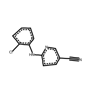 N#Cc1ccc(Nc2ccccc2Cl)nc1